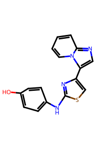 Oc1ccc(Nc2nc(-c3cnc4ccccn34)cs2)cc1